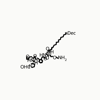 CCCCCCCCCCCCCCCCCCCCCC=CC(=O)NC[C@H](NC(=O)Cc1ccccc1CNC(=O)[C@H](Cc1ccco1)NC(=O)[C@@H]1CCCN(C=O)C1)C(=O)NCCOCCN